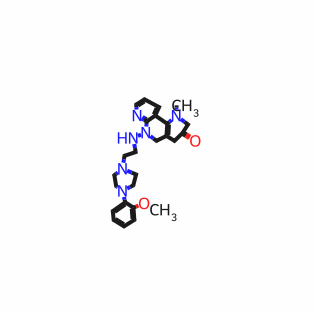 COc1ccccc1N1CCN(CCNN2CC3=C(c4cccnc42)N(C)CC(=O)C3)CC1